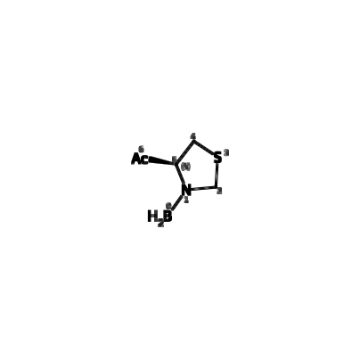 BN1CSC[C@@H]1C(C)=O